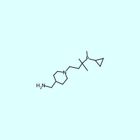 CP(C1CC1)C(C)(C)CCN1CCC(CN)CC1